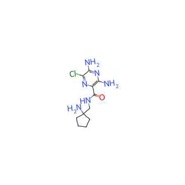 Nc1nc(N)c(C(=O)NCC2(N)CCCC2)nc1Cl